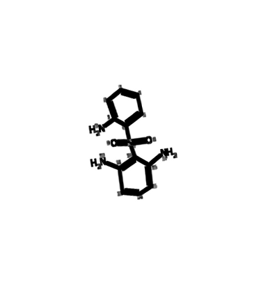 Nc1ccccc1S(=O)(=O)c1c(N)cccc1N